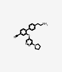 N#Cc1ccc(-c2ccc(CCN)cc2)c(Sc2cnnc(N3CCCC3)c2)c1